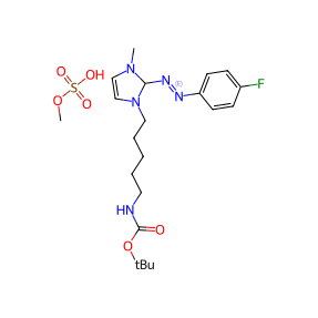 CN1C=CN(CCCCCNC(=O)OC(C)(C)C)C1/N=N/c1ccc(F)cc1.COS(=O)(=O)O